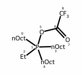 CCCCCCCCP(CC)(CCCCCCCC)(CCCCCCCC)OC(=O)C(F)(F)F